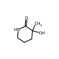 CC1(O)CCCNC1=O